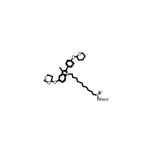 CCCCC[S+]([O-])CCCCCCCCCCn1c(-c2ccc(OC3CCCCO3)cc2)c(C)c2cc(OC3CCCCO3)ccc21